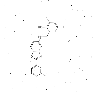 Cc1cccc(-c2nc3cc(NCc4cc(I)cc(C)c4O)ccc3o2)c1